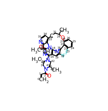 C=CC(=O)N1C[C@H](C)N(c2nc(=O)n3c4nc(c(F)cc24)-c2c(F)cccc2OC(C)CCc2ccnc(C(C)C)c2-3)C[C@H]1C